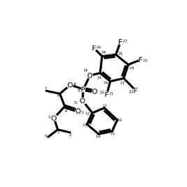 CC(C)OC(=O)C(C)OP(=O)(Oc1ccccc1)Oc1c(F)c(F)c(F)c(F)c1F